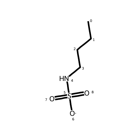 CCCCNS([O])(=O)=O